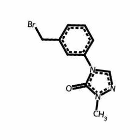 Cn1ncn(-c2cccc(CBr)c2)c1=O